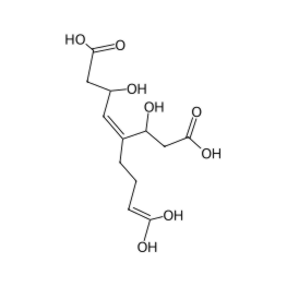 O=C(O)CC(O)C=C(CCC=C(O)O)C(O)CC(=O)O